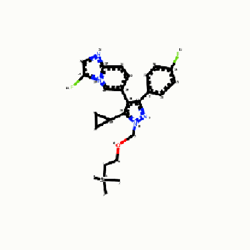 C[Si](C)(C)CCOCn1nc(-c2ccc(F)cc2)c(-c2ccc3ncc(F)n3c2)c1C1CC1